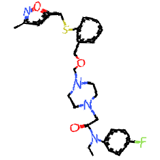 CCN(C(=O)CN1CCN(COCc2ccccc2SCc2cc(C)no2)CC1)c1ccc(F)cc1